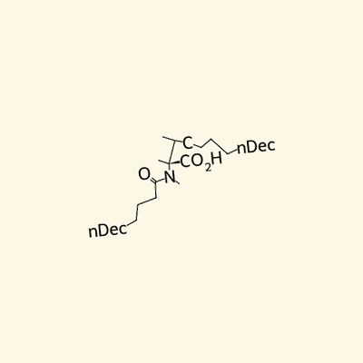 CCCCCCCCCCCCCCC(C)[C@](C)(C(=O)O)N(C)C(=O)CCCCCCCCCCCCC